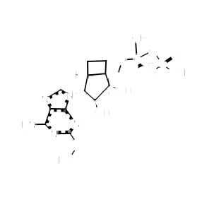 CSc1nc(N)c2ncn([C@H]3[C@H](O)[C@H](O)[C@]4(COP(=O)(O)OP(=O)(O)O)CC[C@H]34)c2n1